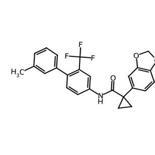 Cc1cccc(-c2ccc(NC(=O)C3(c4ccc5c(c4)OCO5)CC3)cc2C(F)(F)F)c1